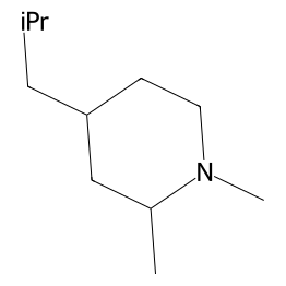 CC(C)CC1CCN(C)C(C)C1